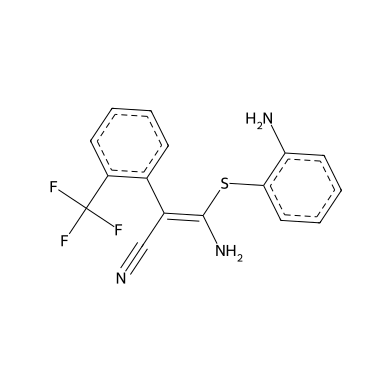 N#C/C(=C(\N)Sc1ccccc1N)c1ccccc1C(F)(F)F